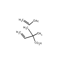 C=CC(C)(C)C(=O)O.C=COC(C)=O